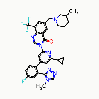 C[C@H]1CCCN(Cc2cc(C(F)(F)F)c3ncn(-c4cc(-c5ccc(F)cc5-c5nncn5C)cc(C5CC5)n4)c(=O)c3c2)C1